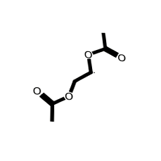 CC(=O)O[CH]COC(C)=O